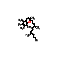 Cc1c(C)c(C(C)C)c(C)c2c1OC(C)(CCCC(C)CCCC(C)CCCC(C)C)CC2